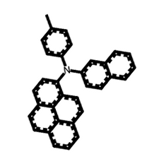 Cc1ccc(N(c2ccc3ccccc3c2)c2ccc3ccc4cccc5ccc2c3c45)cc1